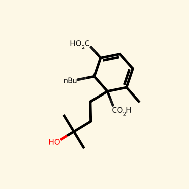 CCCCC1C(C(=O)O)=CC=C(C)C1(CCC(C)(C)O)C(=O)O